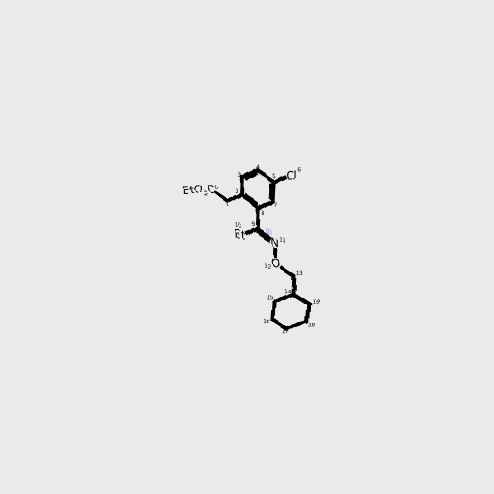 CCOC(=O)Cc1ccc(Cl)cc1/C(CC)=N/OCC1CCCCC1